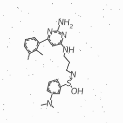 Cc1cccc(-c2cc(NCCC/N=S(/O)c3cccc(N(C)C)c3)nc(N)n2)c1C